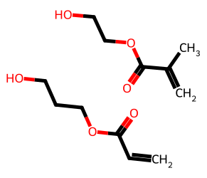 C=C(C)C(=O)OCCO.C=CC(=O)OCCCO